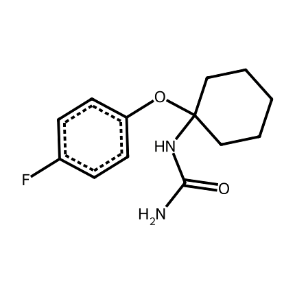 NC(=O)NC1(Oc2ccc(F)cc2)CCCCC1